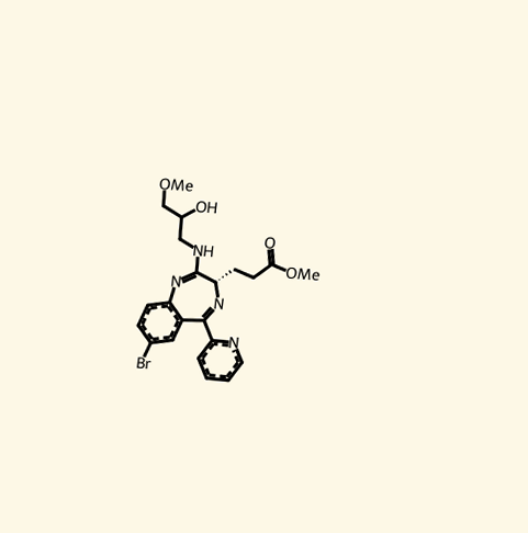 COCC(O)CNC1=Nc2ccc(Br)cc2C(c2ccccn2)=N[C@H]1CCC(=O)OC